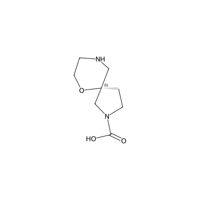 O=C(O)N1CC[C@]2(CNCCO2)C1